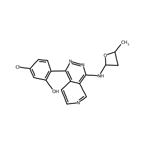 CC1CC(Nc2nnc(-c3ccc(Cl)cc3O)c3ccncc23)O1